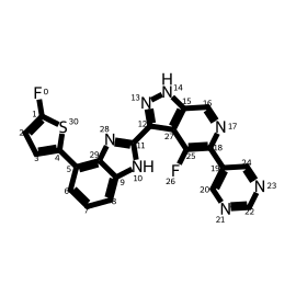 Fc1ccc(-c2cccc3[nH]c(-c4n[nH]c5cnc(-c6cncnc6)c(F)c45)nc23)s1